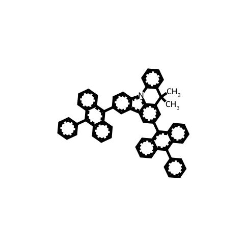 CC1(C)c2ccccc2-n2c3ccc(-c4c5ccccc5c(-c5ccccc5)c5ccccc45)cc3c3cc(-c4c5ccccc5c(-c5ccccc5)c5ccccc45)cc1c32